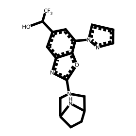 OC(c1cc(-n2cccn2)c2oc(N3CC4CCC(C3)N4)nc2c1)C(F)(F)F